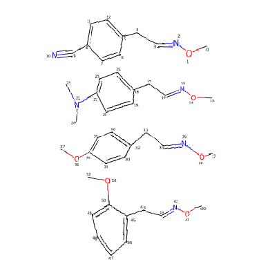 CON=CCc1ccc(C#N)cc1.CON=CCc1ccc(N(C)C)cc1.CON=CCc1ccc(OC)cc1.CON=CCc1ccccc1OC